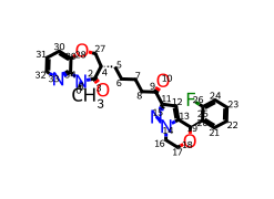 CN1C(=O)[C@@H](CCCCC(=O)c2cc3n(n2)CCO[C@@H]3c2ccccc2F)COc2cccnc21